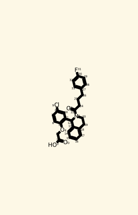 O=C(O)COc1ccc(Cl)cc1C1c2ccccc2CCN1C(=O)CCCc1ccc(F)cc1